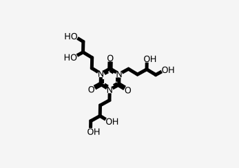 O=c1n(CCC(O)CO)c(=O)n(CCC(O)CO)c(=O)n1CCC(O)CO